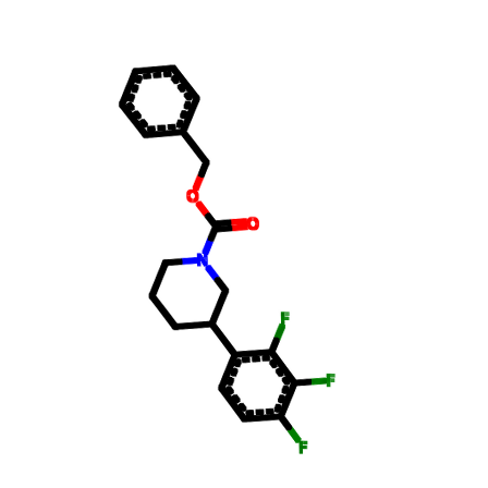 O=C(OCc1ccccc1)N1CCCC(c2ccc(F)c(F)c2F)C1